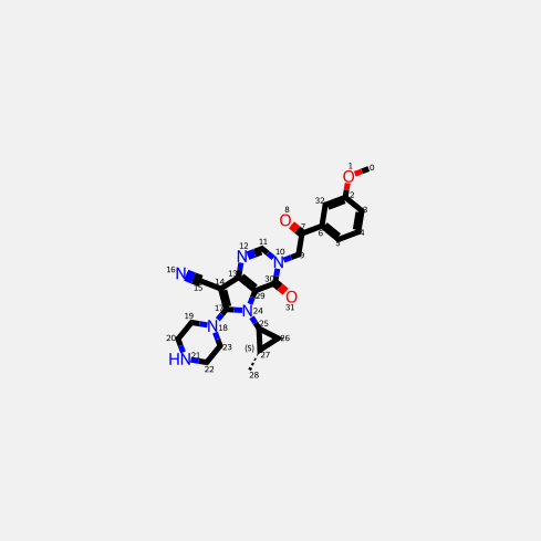 COc1cccc(C(=O)Cn2cnc3c(C#N)c(N4CCNCC4)n(C4C[C@@H]4C)c3c2=O)c1